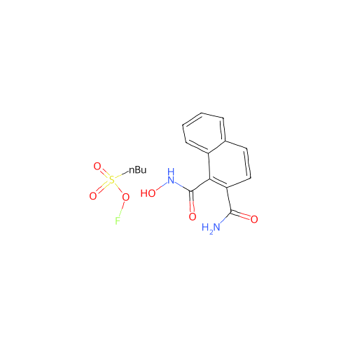 CCCCS(=O)(=O)OF.NC(=O)c1ccc2ccccc2c1C(=O)NO